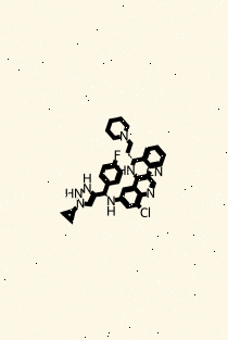 N#Cc1cnc2c(Cl)cc(N[C@H](C3=CN(C4CC4)NN3)c3ccc(F)cc3)cc2c1N[C@H](CCN1CCCCC1)c1ccccc1